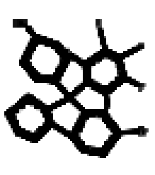 Oc1ccc(C2(c3c(F)c(F)c(F)c(F)c3F)c3ccccc3-c3ccc(Br)cc32)cc1